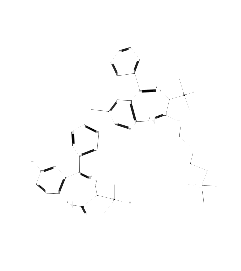 CC(C)(O)C1N=C(c2ccccc2)c2cc(Cl)ccc2N=C1SCOCC[Si](C)(C)C.CC(C)(O)C1N=C(c2ccccc2)c2cc(Cl)ccc2NC1=S